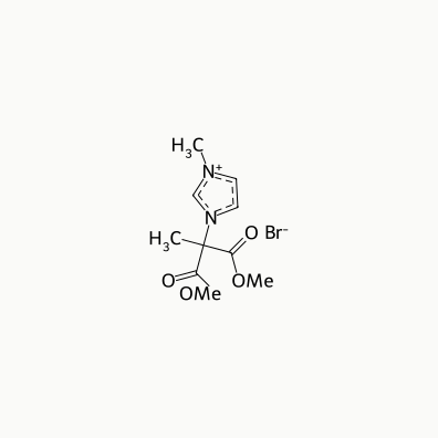 COC(=O)C(C)(C(=O)OC)n1cc[n+](C)c1.[Br-]